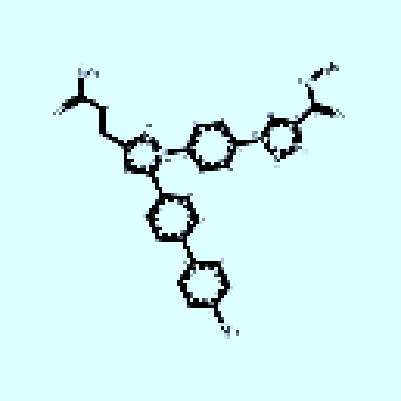 CNC(=O)CCc1cc(-c2ccc(-c3ccc(C)cc3)cc2)n(-c2ccc(-n3cc(C(=O)OC(C)(C)C)nn3)cc2)n1